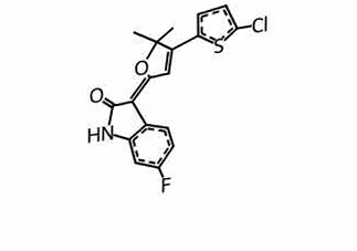 CC1(C)OC(=C2C(=O)Nc3cc(F)ccc32)C=C1c1ccc(Cl)s1